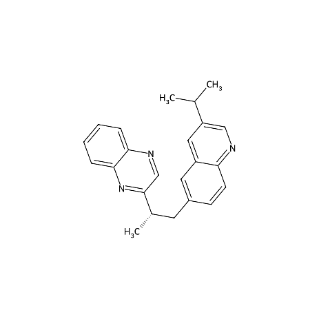 CC(C)c1cnc2ccc(C[C@H](C)c3cnc4ccccc4n3)cc2c1